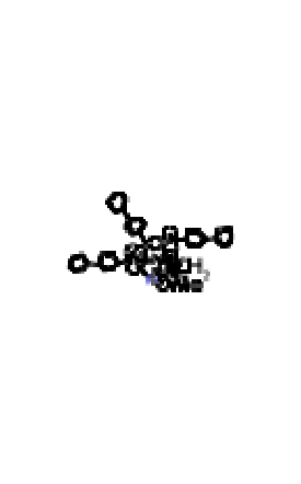 CO/N=C/[C@H](OC(=O)c1ccc(-c2ccccc2)cc1)[C@@H](OC(=O)c1ccc(-c2ccccc2)cc1)[C@H](COC(=O)c1ccc(-c2ccccc2)cc1)OS(C)(=O)=O